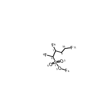 O=S(=O)(OF)C(F)C(F)CCF